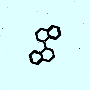 c1ccc2c(c1)CCCC2C1CCCc2ccccc21